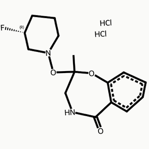 CC1(ON2CCC[C@@H](F)C2)CNC(=O)c2ccccc2O1.Cl.Cl